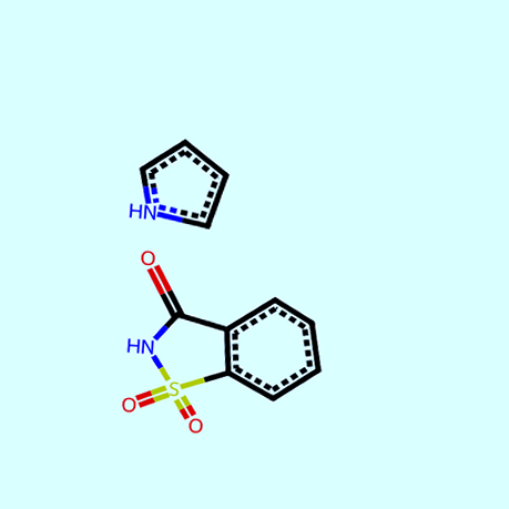 O=C1NS(=O)(=O)c2ccccc21.c1cc[nH]c1